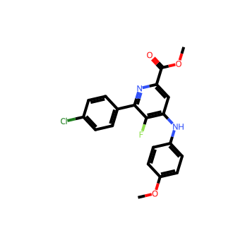 COC(=O)c1cc(Nc2ccc(OC)cc2)c(F)c(-c2ccc(Cl)cc2)n1